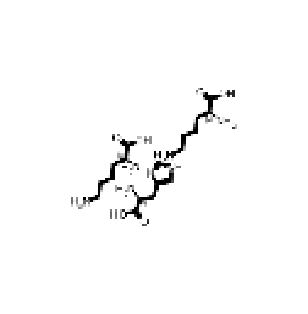 NCCCC[C@H](N)C(=O)O.NCCCC[C@H](N)C(=O)O.N[C@@H](Cc1c[nH]cn1)C(=O)O